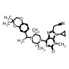 CC(c1ccc2c(c1)OC(C)(C)CO2)N1C[C@H](C)N(c2nc(=O)n(C)c3c2nc(CC#N)n3C2CC2)C[C@H]1C